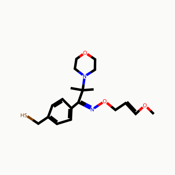 CO/C=C/CO/N=C(/c1ccc(CS)cc1)C(C)(C)N1CCOCC1